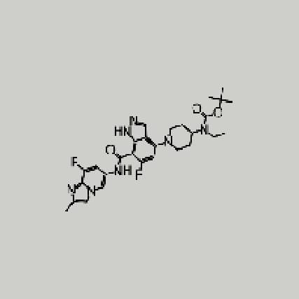 CCN(C(=O)OC(C)(C)C)C1CCN(c2cc(F)c(C(=O)Nc3cc(F)c4nc(C)cn4c3)c3[nH]ncc23)CC1